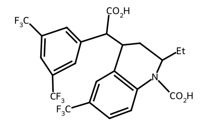 CCC1CC(C(C(=O)O)c2cc(C(F)(F)F)cc(C(F)(F)F)c2)c2cc(C(F)(F)F)ccc2N1C(=O)O